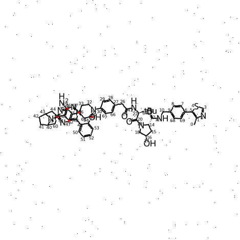 Cc1ncsc1-c1ccc(CNC(=O)[C@@H]2C[C@@H](O)CN2C(=O)[C@@H](NC(=O)Cc2ccc(N3CCC(c4cnc(N5C6CCC5CN(c5cc(-c7ccccc7O)nnc5N)C6)nc4)CC3)cc2)C(C)(C)C)cc1